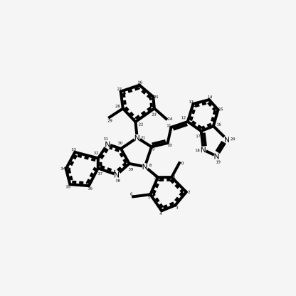 Cc1cccc(C)c1N1C(=C/C=c2/cccc3c2=NN=N3)N(c2c(C)cccc2C)c2nc3ccccc3nc21